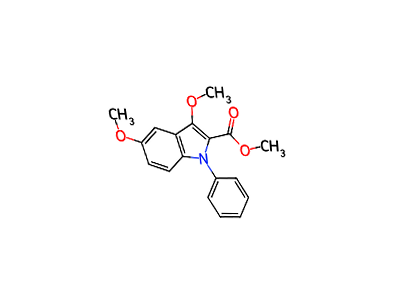 COC(=O)c1c(OC)c2cc(OC)ccc2n1-c1ccccc1